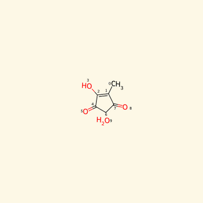 CC1=C(O)C(=O)CC1=O.O